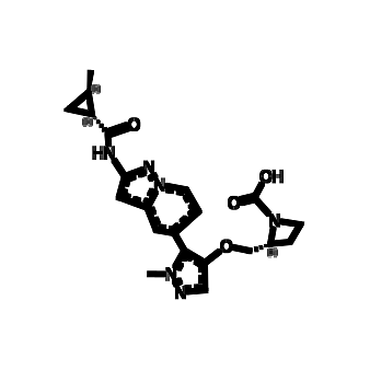 C[C@@H]1C[C@H]1C(=O)Nc1cc2cc(-c3c(OC[C@H]4CCN4C(=O)O)cnn3C)ccn2n1